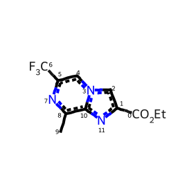 CCOC(=O)c1cn2cc(C(F)(F)F)nc(C)c2n1